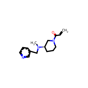 C=CC(=O)N1CCC[C@@H](N(C)Cc2cccnc2)C1